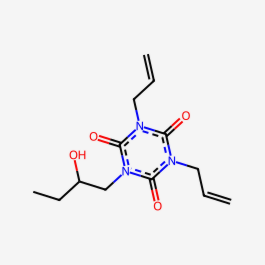 C=CCn1c(=O)n(CC=C)c(=O)n(CC(O)CC)c1=O